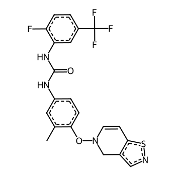 Cc1cc(NC(=O)Nc2cc(C(F)(F)F)ccc2F)ccc1ON1C=Cc2sncc2C1